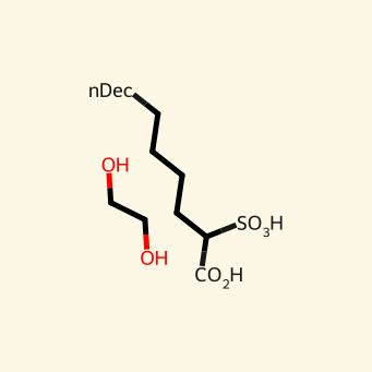 CCCCCCCCCCCCCCC(C(=O)O)S(=O)(=O)O.OCCO